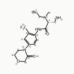 CN(CC(C)(C)C)[C@H](CN)C(=O)Nc1ccc(N2CCOCC2=O)cc1C(F)(F)F